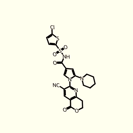 N#Cc1cc2c(nc1-n1cc(C(=O)NS(=O)(=O)c3ccc(Cl)s3)cc1N1CCCCC1)CCOC2=O